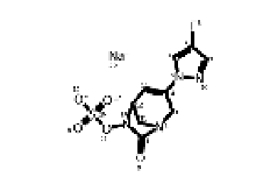 O=C1N2CC(n3cc(F)cn3)=CC(C2)N1OS(=O)(=O)[O-].[Na+]